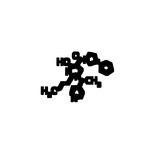 CCCCC1=NC(O)=C(C(=O)N2CC[C@H](c3ccccc3)C2)CN1C(C)c1ccncc1